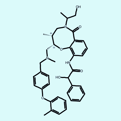 Cc1ccccc1Oc1ccc(CN(C)C[C@H]2Oc3c(NC(=O)C(O)c4ccccc4)cccc3C(=O)N(C(C)CO)C[C@H]2C)cc1